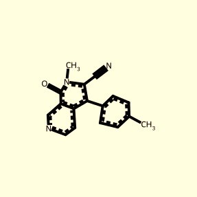 Cc1ccc(-c2c(C#N)n(C)c(=O)c3cnccc23)cc1